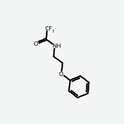 O=C(NCCOc1cc[c]cc1)C(F)(F)F